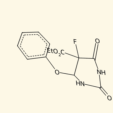 CCOC(=O)C1(F)C(=O)NC(=O)NC1Oc1ccccc1